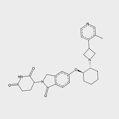 Cc1cnccc1C1CN([C@@H]2CCCC[C@H]2Oc2ccc3c(c2)CN(C2CCC(=O)NC2=O)C3=O)C1